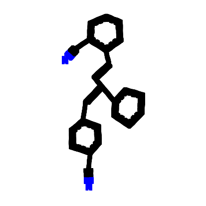 N#Cc1ccc(C=C(C=Cc2ccccc2C#N)c2ccccc2)cc1